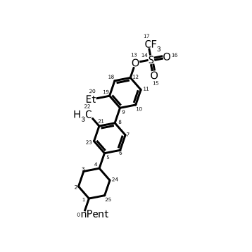 CCCCCC1CCC(c2ccc(-c3ccc(OS(=O)(=O)C(F)(F)F)cc3CC)c(C)c2)CC1